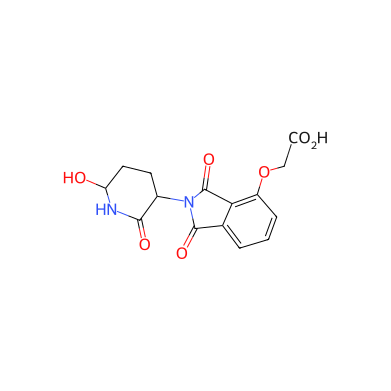 O=C(O)COc1cccc2c1C(=O)N(C1CCC(O)NC1=O)C2=O